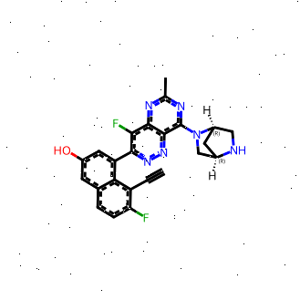 C#Cc1c(F)ccc2cc(O)cc(-c3nnc4c(N5C[C@H]6C[C@@H]5CN6)nc(C)nc4c3F)c12